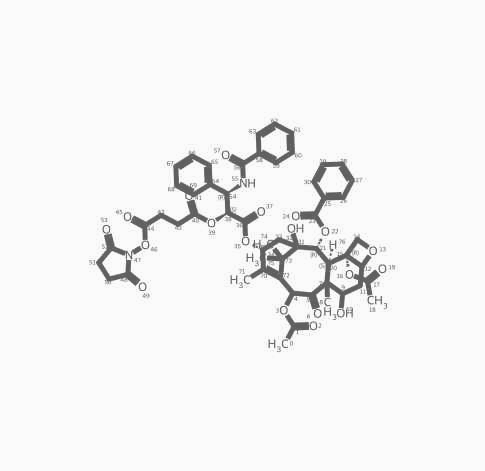 CC(=O)OC1C(=O)C2(C)C(O)CC3OC[C@]3(OC(C)=O)[C@@H]2[C@@H](OC(=O)c2ccccc2)C2(O)C[C@@H](OC(=O)[C@@H](OC(=O)CCC(=O)ON3C(=O)CCC3=O)[C@H](NC(=O)c3ccccc3)c3ccccc3)C(C)=C1C2(C)C